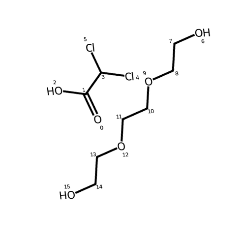 O=C(O)C(Cl)Cl.OCCOCCOCCO